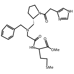 COC(=O)C(CCSC)NC(=O)CN(Cc1ccccc1)C[C@@H]1CCCN1C(=O)Cc1c[nH]cn1